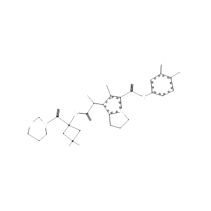 Cc1c(C(O)C(=O)NC2(C(=O)N3CCCOC3)CC(F)(F)C2)c2n(c1C(=O)Nc1ccc(F)c(Cl)c1)CCC2